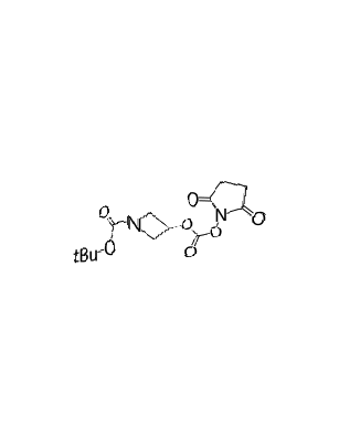 CC(C)(C)OC(=O)N1CC(OC(=O)ON2C(=O)CCC2=O)C1